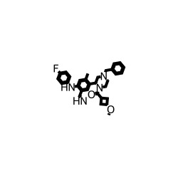 COC1CC(C(=O)N2CCN(Cc3ccccc3)CC2c2cc(C=N)c(Nc3ccc(F)cc3)cc2C)C1